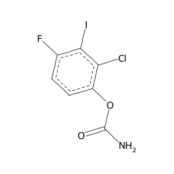 NC(=O)Oc1ccc(F)c(I)c1Cl